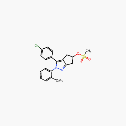 COc1ccccc1-n1nc2c(c1-c1ccc(Cl)cc1)CC(OS(C)(=O)=O)C2